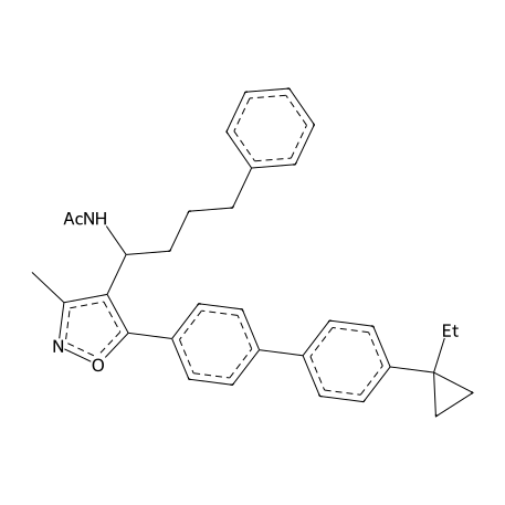 CCC1(c2ccc(-c3ccc(-c4onc(C)c4C(CCCc4ccccc4)NC(C)=O)cc3)cc2)CC1